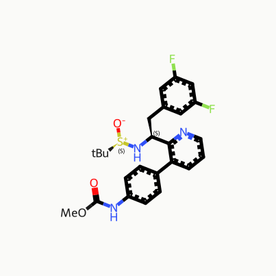 COC(=O)Nc1ccc(-c2cccnc2[C@H](Cc2cc(F)cc(F)c2)N[S@+]([O-])C(C)(C)C)cc1